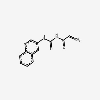 C=CC(=O)NC(=O)Nc1cnc2ccccc2c1